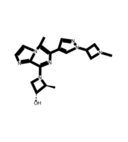 Cc1c(-c2cnn(C3CN(C)C3)c2)nc(N2C[C@@H](O)[C@@H]2C)c2nccn12